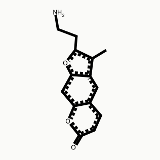 Cc1c(CCN)oc2cc3oc(=O)ccc3cc12